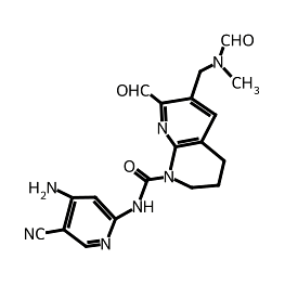 CN(C=O)Cc1cc2c(nc1C=O)N(C(=O)Nc1cc(N)c(C#N)cn1)CCC2